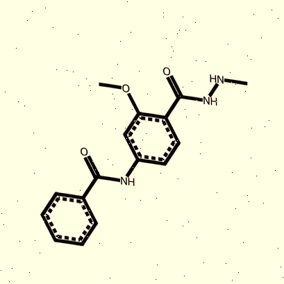 CNNC(=O)c1ccc(NC(=O)c2ccccc2)cc1OC